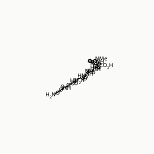 CN[C@@H](Cc1c[nH]c2ccccc12)C(=O)N[C@@H](CC(=O)O)C(=O)N1CCCC1C(=O)NCC(=O)NCC(=O)NCC(=O)N[C@@H](CCCCNC(=O)COCCOCCNC(=O)COCCOCCN)C(N)=O